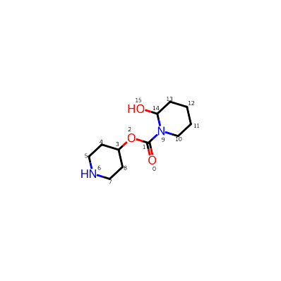 O=C(OC1CCNCC1)N1CCCCC1O